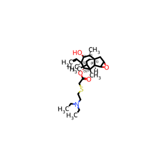 C=C[C@]1(C)[C@@H](OC(=O)CSCCN(CC)CC)[C@]2(C)C(C)CC[C@]3(CC4OC4[C@H]32)[C@@H](C)[C@@H]1O